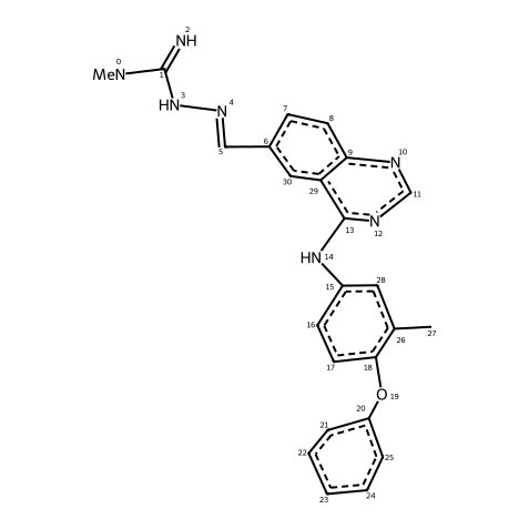 CNC(=N)N/N=C/c1ccc2ncnc(Nc3ccc(Oc4ccccc4)c(C)c3)c2c1